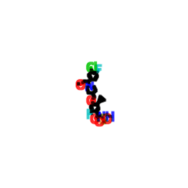 COCC(c1ccc(F)c(Cl)c1)N1CCC(COc2cc(F)c(C(=O)NS(C)(=O)=O)cc2C2CC2)CC1